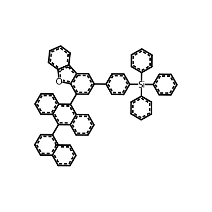 c1ccc([Si](c2ccccc2)(c2ccccc2)c2ccc(-c3cc(-c4c5ccccc5c(-c5cccc6ccccc56)c5ccccc45)c4oc5ccccc5c4c3)cc2)cc1